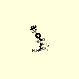 CC1(C)OB(c2ccc(C(=O)N/C(N)=C/C(=C\N)C(F)(F)F)cc2)OC1(C)C